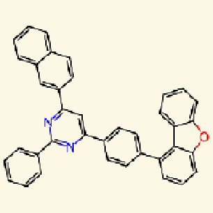 c1ccc(-c2nc(-c3ccc(-c4cccc5oc6ccccc6c45)cc3)cc(-c3ccc4ccccc4c3)n2)cc1